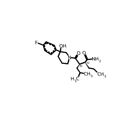 CCC[C@H](C(N)=O)[C@@H](CC(C)C)C(=O)N1CCCC(O)(c2ccc(F)cc2)C1